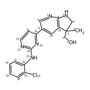 CC1(CO)CNc2ncc(-c3ccnc(Nc4ccccc4Cl)n3)cc21